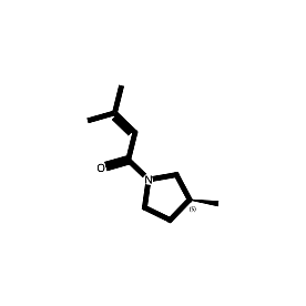 CC(C)=CC(=O)N1CC[C@H](C)C1